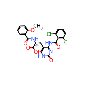 COc1ccccc1C(=O)N[C@@H](Cc1c[nH]c(=O)nc1NC(=O)c1c(Cl)cccc1Cl)C(=O)O